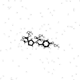 COC(=O)[C@@]1(C=O)CC[C@H](N(Cc2ccc(OC)cc2)S(C)(=O)=O)C1